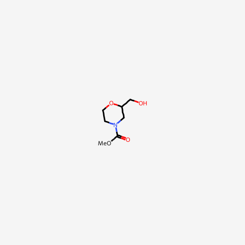 COC(=O)N1CCOC(CO)C1